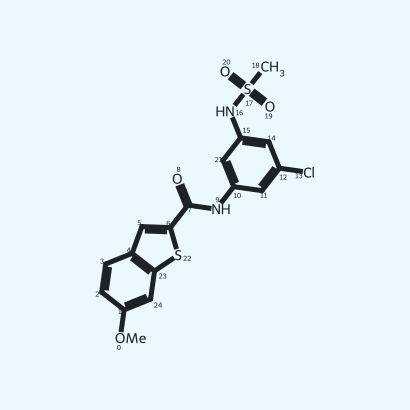 COc1ccc2cc(C(=O)Nc3cc(Cl)cc(NS(C)(=O)=O)c3)sc2c1